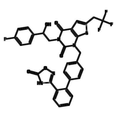 O=c1[nH]c(-c2ccccc2-c2ccc(Cn3c(=O)n(CC(O)c4ccc(F)cc4)c(=O)c4cc(CC(F)(F)F)sc43)cc2)no1